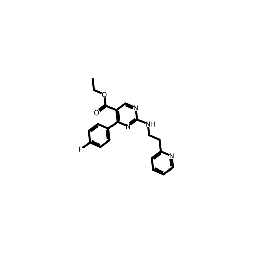 CCOC(=O)c1cnc(NCCc2ccccn2)nc1-c1ccc(F)cc1